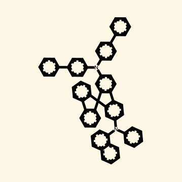 c1ccc(-c2ccc(N(c3ccc(-c4ccccc4)cc3)c3ccc4c(c3)C3(c5ccccc5-c5ccccc53)c3cc(N(c5ccccc5)c5cccc6ccccc56)ccc3-4)cc2)cc1